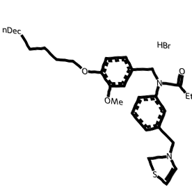 Br.CCCCCCCCCCCCCCOc1ccc(CN(C(=O)CC)c2cccc(CN3C=CSC3)c2)cc1OC